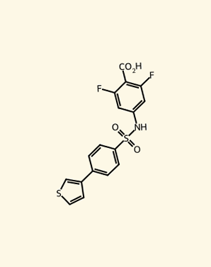 O=C(O)c1c(F)cc(NS(=O)(=O)c2ccc(-c3ccsc3)cc2)cc1F